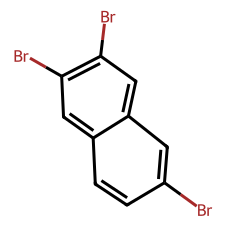 Brc1ccc2cc(Br)c(Br)cc2c1